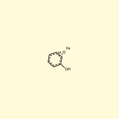 O.Oc1ccccc1.[Fe]